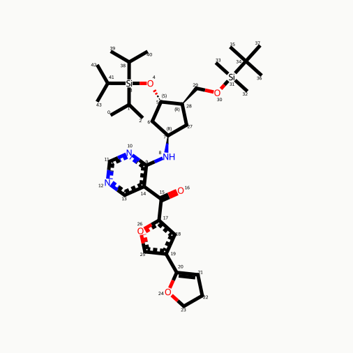 CC(C)[Si](O[C@H]1C[C@H](Nc2ncncc2C(=O)c2cc(C3=CCCO3)co2)C[C@@H]1CO[Si](C)(C)C(C)(C)C)(C(C)C)C(C)C